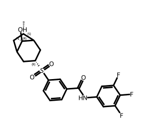 C[C@H]1CC2C[C@@H](S(=O)(=O)c3cccc(C(=O)Nc4cc(F)c(F)c(F)c4)c3)CC1[C@]2(C)O